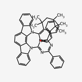 CC1CC(C)(C)c2c(-n3c4ccccc4c4ccc5c6ccccc6n(-c6nc(-c7ccccc7)nc(-c7ccccc7)n6)c5c43)cccc2C1(C)C